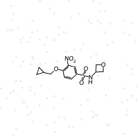 O=[N+]([O-])c1cc(S(=O)(=O)NC2COC2)ccc1OCC1CC1